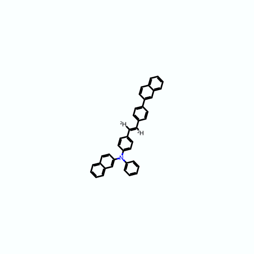 [2H]/C(=C(/[2H])c1ccc(N(c2ccccc2)c2ccc3ccccc3c2)cc1)c1ccc(-c2ccc3ccccc3c2)cc1